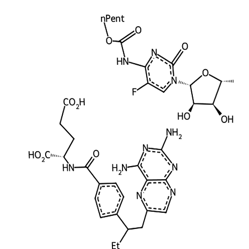 CCC(Cc1cnc2nc(N)nc(N)c2n1)c1ccc(C(=O)N[C@@H](CCC(=O)O)C(=O)O)cc1.CCCCCOC(=O)Nc1nc(=O)n([C@@H]2O[C@H](C)[C@@H](O)[C@H]2O)cc1F